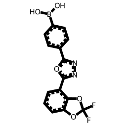 OB(O)c1ccc(-c2nnc(-c3cccc4c3OC(F)(F)O4)o2)cc1